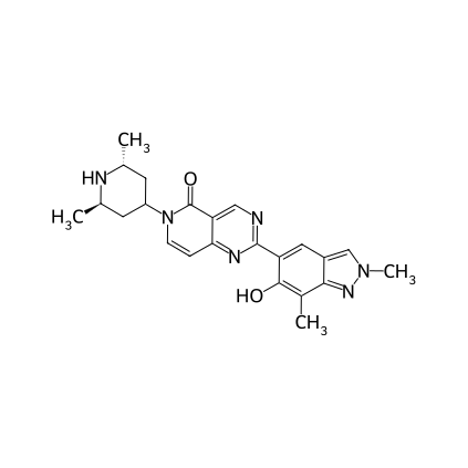 Cc1c(O)c(-c2ncc3c(=O)n(C4C[C@@H](C)N[C@H](C)C4)ccc3n2)cc2cn(C)nc12